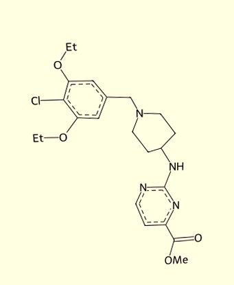 CCOc1cc(CN2CCC(Nc3nccc(C(=O)OC)n3)CC2)cc(OCC)c1Cl